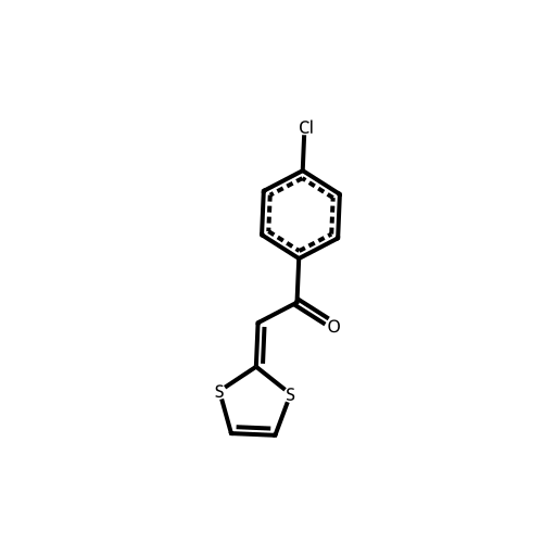 O=C(C=C1SC=CS1)c1ccc(Cl)cc1